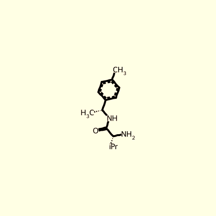 Cc1ccc([C@@H](C)NC(=O)[C@H](N)C(C)C)cc1